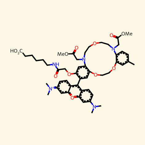 COC(=O)CN1CCOCCN(CC(=O)OC)c2cc(OCC(=O)NCCCCCC(=O)O)c(-c3c4ccc(=[N+](C)C)cc-4oc4cc(N(C)C)ccc34)cc2OCCOc2cc(C)ccc21